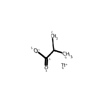 CC(C)C(=O)[O-].[Tl+]